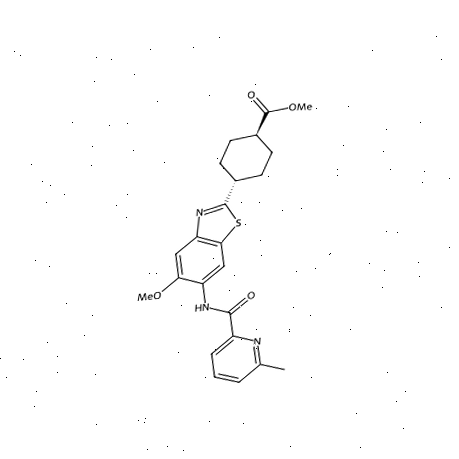 COc1cc2nc([C@H]3CC[C@H](C(=O)OC)CC3)sc2cc1NC(=O)c1cccc(C)n1